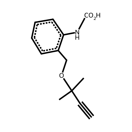 C#CC(C)(C)OCc1ccccc1NC(=O)O